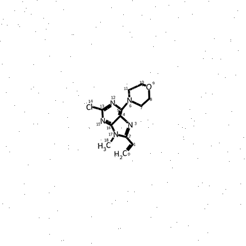 C=Cc1nc2c(N3CCOCC3)nc(Cl)nc2n1C